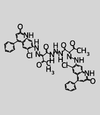 CC(=O)C(=NNc1cc2[nH]c(=O)cc(-c3ccccc3)c2cc1Cl)C(=O)NNNC(=O)C(=NNc1cc2[nH]c(=O)cc(-c3ccccc3)c2cc1Cl)C(C)=O